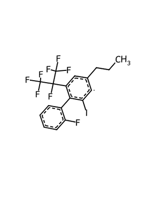 CCCc1[c]c(I)c(-c2ccccc2F)c(C(F)(C(F)(F)F)C(F)(F)F)c1